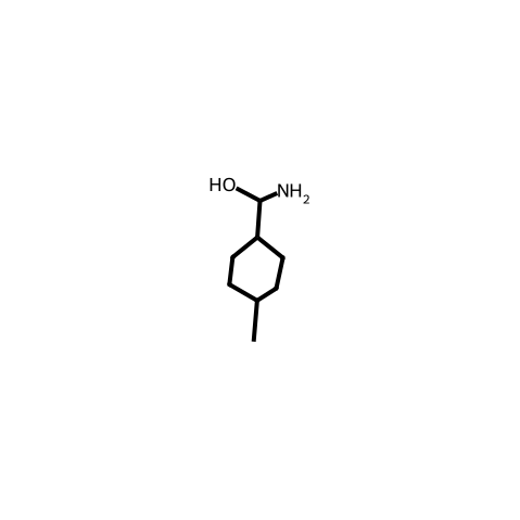 CC1CCC(C(N)O)CC1